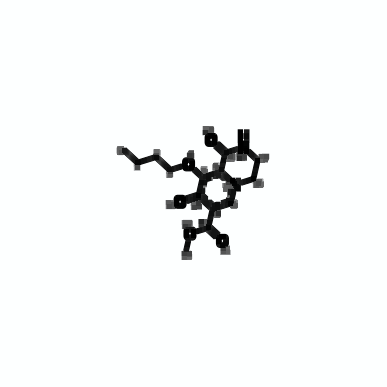 CCCCOc1c2n(cc(C(=O)OC)c1=O)CCNC2=O